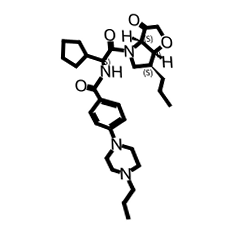 CCC[C@H]1CN(C(=O)[C@@H](NC(=O)c2ccc(N3CCN(CCC)CC3)cc2)C2CCCC2)[C@@H]2C(=O)CO[C@H]12